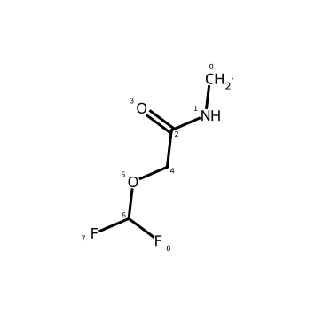 [CH2]NC(=O)COC(F)F